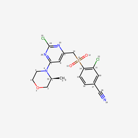 C[C@H]1COCCN1c1cc(CS(=O)(=O)c2ccc(C#N)cc2Cl)nc(Cl)n1